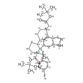 C=CC1(c2ccc3cn[nH]c3c2)C(C2CCN(CC(=O)OC(C)(C)C)CC2)CCC[N+]1(Cc1ccc(F)cc1)C(=O)OC(C)(C)C